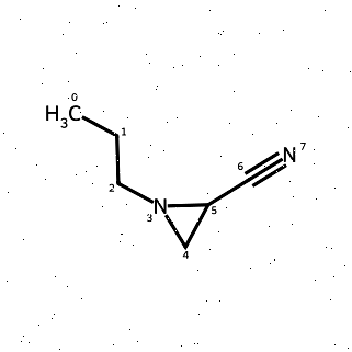 CCCN1CC1C#N